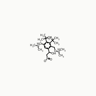 C[SiH](C)OCc1c(C(O)C[N+](=O)[O-])cc(O[SiH](C)C)c(C(C)(C)C)c1C(C)(C)C